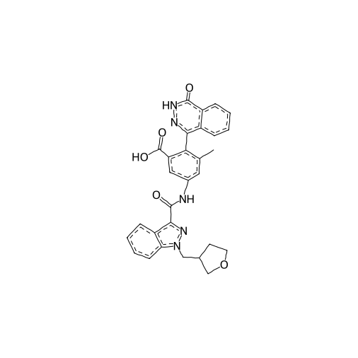 Cc1cc(NC(=O)c2nn(CC3CCOC3)c3ccccc23)cc(C(=O)O)c1-c1n[nH]c(=O)c2ccccc12